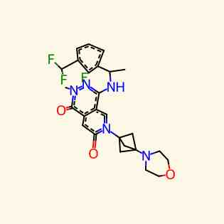 CC(Nc1nn(C)c(=O)c2cc(=O)n(C34CC(N5CCOCC5)(C3)C4)cc12)c1cccc(C(F)F)c1F